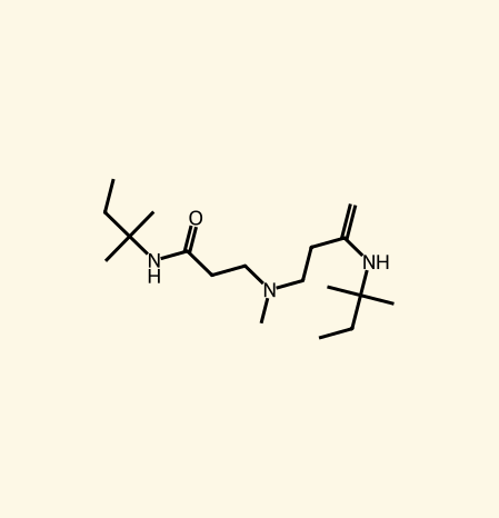 C=C(CCN(C)CCC(=O)NC(C)(C)CC)NC(C)(C)CC